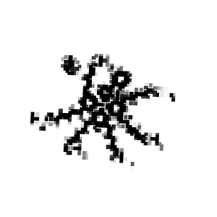 CCCCCCc1cc(CCCCCC)cc([Si](C2=[C]([Ti+3])C(c3ccccc3)=CC2)(c2cc(CCCCCC)cc(CCCCCC)c2)c2cc(CCCCCC)cc(CCCCCC)c2)c1.[Cl-].[Cl-].[Cl-]